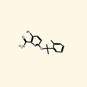 Cc1ccccc1C(C)(C)Oc1ccc(C(C)C)c(C(N)=O)n1